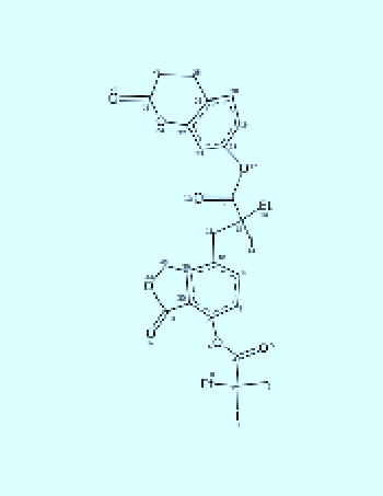 CCC(C)(I)C(=O)Oc1ccc(CC(I)(CC)C(=O)Oc2ccc3c(c2)OC(=O)CC3)c2c1C(=O)OC2